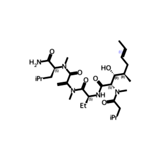 C=C(C(=O)N(C)[C@@H](CC(C)C)C(N)=O)N(C)C(=O)[C@H](CC)NC(=O)[C@H]([C@H](O)[C@H](C)C/C=C/C)N(C)C(=O)CC(C)C